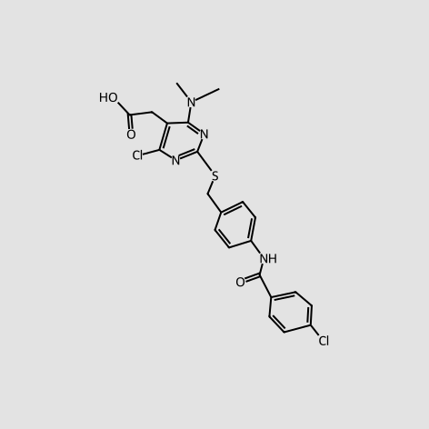 CN(C)c1nc(SCc2ccc(NC(=O)c3ccc(Cl)cc3)cc2)nc(Cl)c1CC(=O)O